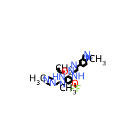 C=CC(=O)Nc1cc(Nc2cc(-c3ccc4c(cnn4C)c3)ncn2)c(OC(F)F)cc1N(C)CCN1CCN(C)CC1